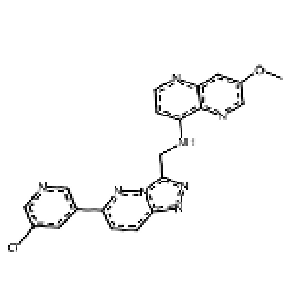 COc1cnc2c(NCc3nnc4ccc(-c5cncc(Cl)c5)nn34)ccnc2c1